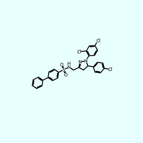 O=S(=O)(NCC1=NN(c2ccc(Cl)cc2Cl)C(c2ccc(Cl)cc2)C1)c1ccc(-c2ccccc2)cc1